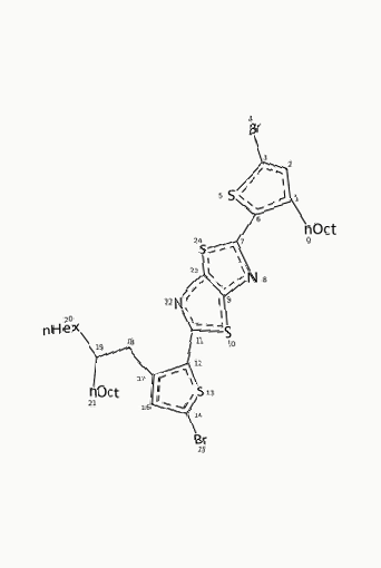 CCCCCCCCc1cc(Br)sc1-c1nc2sc(-c3sc(Br)cc3CC(CCCCCC)CCCCCCCC)nc2s1